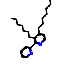 CCCCCCCc1ccnc(-c2ccccn2)c1CCCCCCC